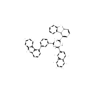 C1=CC2Sc3ccccc3C2C(c2nc(-c3cccc(-c4cccc5oc6ccccc6c45)c3)nc(-c3ccc4ccccc4c3)n2)=C1